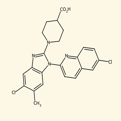 Cc1cc2c(cc1Cl)nc(N1CCC(C(=O)O)CC1)n2-c1ccc2cc(Cl)ccc2n1